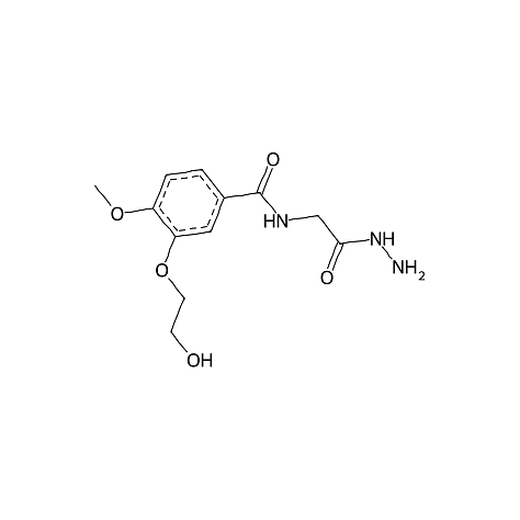 COc1ccc(C(=O)NCC(=O)NN)cc1OCCO